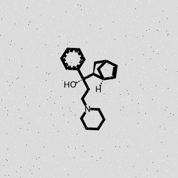 O[C@](CCN1CCCCC1)(c1ccccc1)[C@H]1CC2C=C[C@@H]1C2